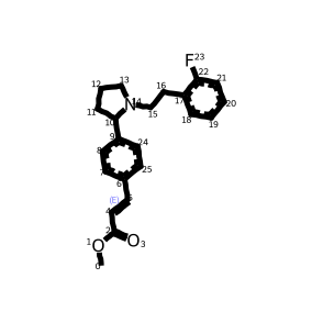 COC(=O)/C=C/c1ccc(C2CCCN2CCc2ccccc2F)cc1